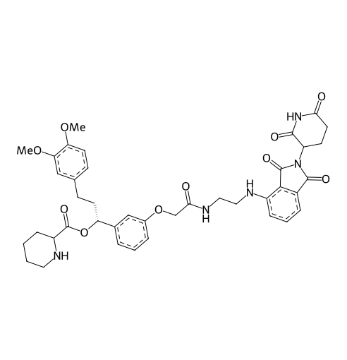 COc1ccc(CC[C@@H](OC(=O)C2CCCCN2)c2cccc(OCC(=O)NCCNc3cccc4c3C(=O)N(C3CCC(=O)NC3=O)C4=O)c2)cc1OC